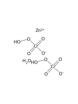 O.[O]=[Cr](=[O])([O-])[O]O.[O]=[Cr](=[O])([O-])[O]O.[Zn+2]